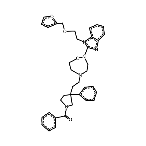 O=C(c1ccccc1)N1CCC(CCN2CCCN(c3nc4ccccc4n3CCOCc3ccco3)CC2)(c2ccccc2)C1